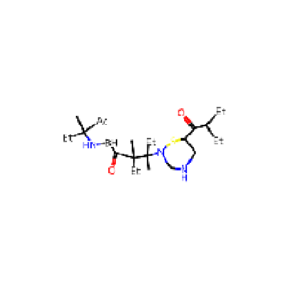 CCC(CC)C(=O)C1CNCN(C(C)(CC)C(C)(CC)C(=O)BNC(C)(CC)C(C)=O)S1